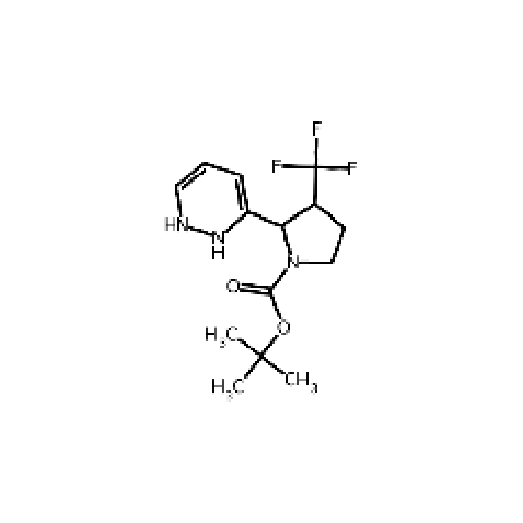 CC(C)(C)OC(=O)N1CCC(C(F)(F)F)C1C1=CC=CNN1